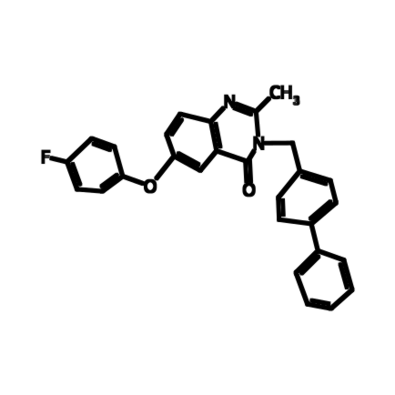 Cc1nc2ccc(Oc3ccc(F)cc3)cc2c(=O)n1Cc1ccc(-c2ccccc2)cc1